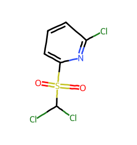 O=S(=O)(c1cccc(Cl)n1)C(Cl)Cl